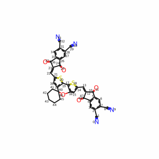 N#Cc1cc2c(cc1C#N)C(=O)C(=Cc1cc3c(s1)-c1sc(C=C4C(=O)c5cc(C#N)c(C#N)cc5C4=O)cc1C1(CCCCC1)O3)C2=O